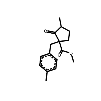 COC(=O)C1(Cc2ccc(C)cc2)CCC(C)C1=O